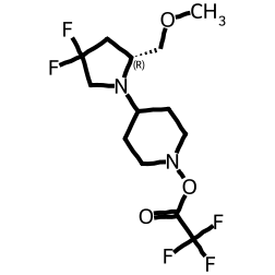 COC[C@H]1CC(F)(F)CN1C1CCN(OC(=O)C(F)(F)F)CC1